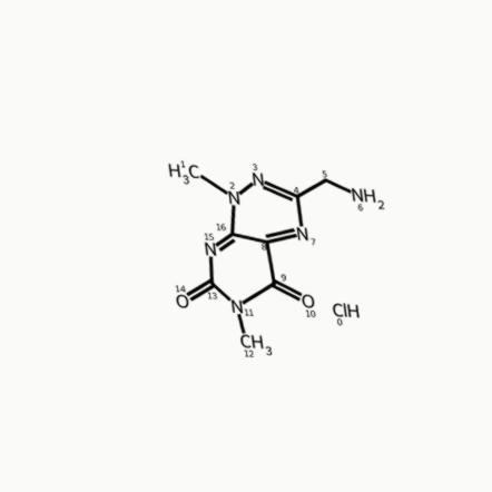 Cl.Cn1nc(CN)nc2c(=O)n(C)c(=O)nc1-2